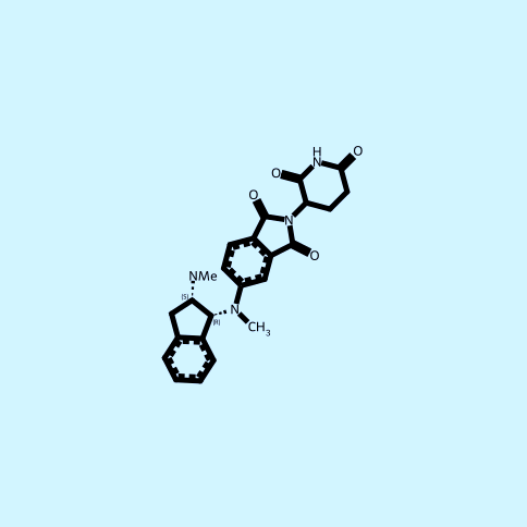 CN[C@H]1Cc2ccccc2[C@H]1N(C)c1ccc2c(c1)C(=O)N(C1CCC(=O)NC1=O)C2=O